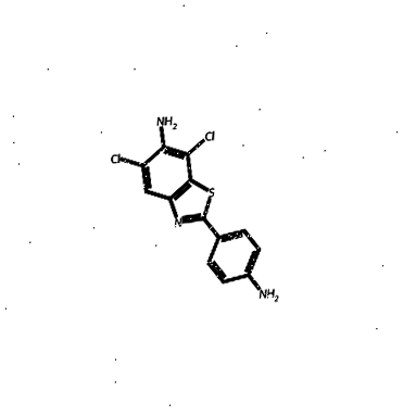 Nc1ccc(-c2nc3cc(Cl)c(N)c(Cl)c3s2)cc1